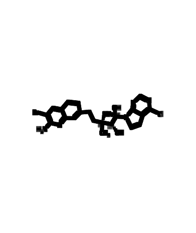 CS[C@](C)(CCc1ccc2cc(Br)c(N)nc2c1)[C@@H](O)[C@@H](O)n1ccc2c(Cl)ncnc21